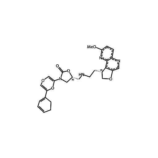 COc1ccc2ncc3c(c2n1)[C@@H](CCNC[C@@H]1CN(C2=COC=C(C4=CC=CCC4)O2)C(=O)O1)CO3